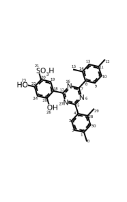 Cc1ccc(-c2nc(-c3ccc(C)cc3C)nc(-c3cc(S(=O)(=O)O)c(O)cc3O)n2)c(C)c1